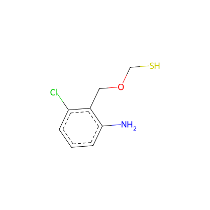 Nc1cccc(Cl)c1COCS